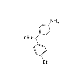 CCCCC(c1ccc(N)cc1)c1ccc(CC)cc1